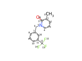 Cc1cccn(Cc2cccc(C(F)(F)F)c2)c1=O